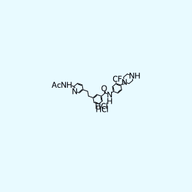 CC(=O)Nc1ccc(CCc2cccc(C(=O)Nc3ccc(N4CCNCC4)c(C(F)(F)F)c3)c2)cn1.Cl.Cl